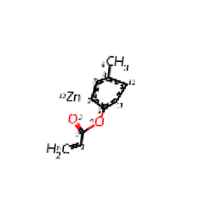 C=CC(=O)Oc1ccc(C)cc1.[Zn]